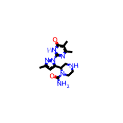 Cc1cc(C2CNCCN2C(N)=O)n(-c2nc(C)c(C)c(=O)[nH]2)n1